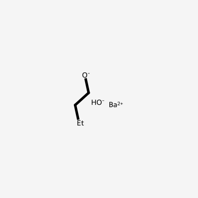 CCCC[O-].[Ba+2].[OH-]